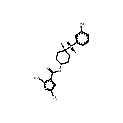 Cc1cccc(S(=O)(=O)[C@]2(F)CC[C@H](NC(=O)c3cc(C(F)(F)F)nn3C)CC2)c1